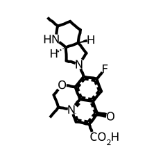 CC1CC[C@@H]2CN(c3c(F)cc4c(=O)c(C(=O)O)cn5c4c3OCC5C)C[C@H]2N1